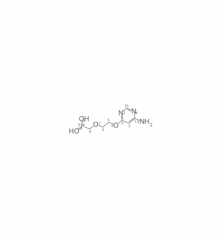 Nc1cc(OCCOCP(O)O)ncn1